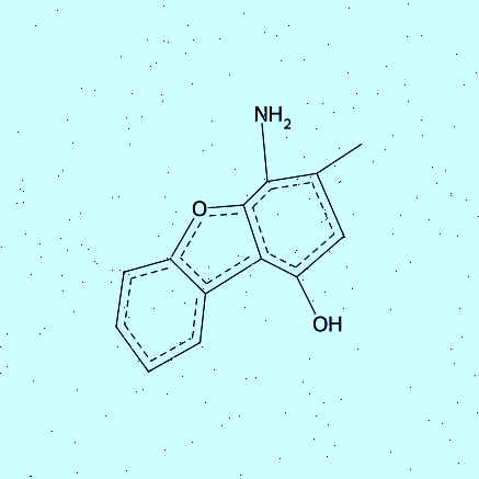 Cc1cc(O)c2c(oc3ccccc32)c1N